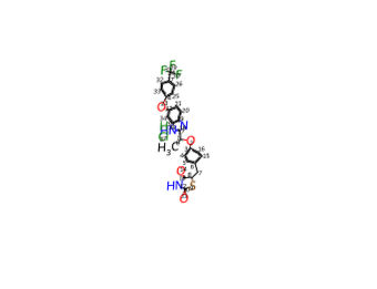 CC(Oc1ccc(CC2SC(=O)NC2=O)cc1)c1nc2ccc(Oc3ccc(C(F)(F)F)cc3)cc2[nH]1.Cl